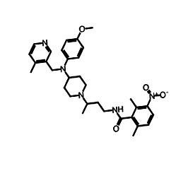 COc1ccc(N(Cc2cnccc2C)C2CCN(C(C)CCNC(=O)c3c(C)ccc([N+](=O)[O-])c3C)CC2)cc1